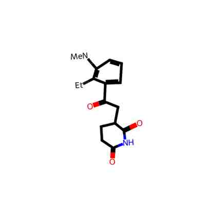 CCc1c(NC)cccc1C(=O)CC1CCC(=O)NC1=O